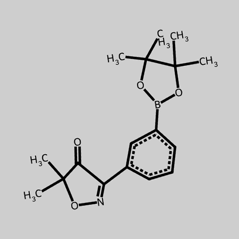 CC1(C)ON=C(c2cccc(B3OC(C)(C)C(C)(C)O3)c2)C1=O